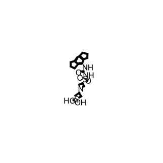 O=C(Nc1c2c(cc3c1CCC3)CCC2)NS(=O)(=O)C1CN(C2CS(O)(O)C2)C1